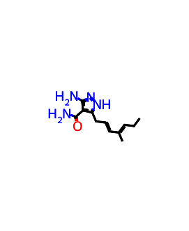 CCC=C(C)C=CCc1[nH]nc(N)c1C(N)=O